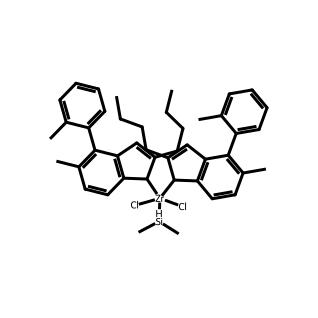 CCCCC1=Cc2c(ccc(C)c2-c2ccccc2C)[CH]1[Zr]([Cl])([Cl])([CH]1C(CCCC)=Cc2c1ccc(C)c2-c1ccccc1C)[SiH](C)C